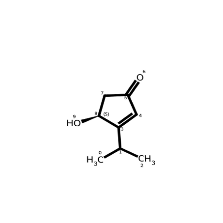 CC(C)C1=CC(=O)C[C@@H]1O